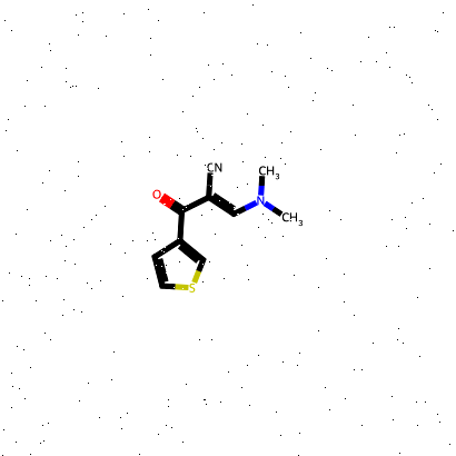 CN(C)C=C(C#N)C(=O)c1ccsc1